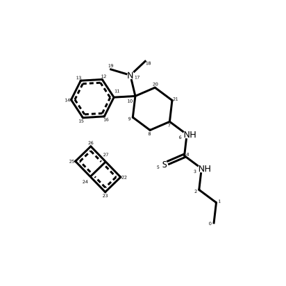 CCCNC(=S)NC1CCC(c2ccccc2)(N(C)C)CC1.c1cc2ccc1-2